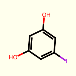 Oc1cc(O)cc(I)c1